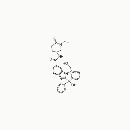 CCN1CC(NC(=O)c2ccc3nc(C(O)(c4ccccc4)c4ccccc4)n(CCO)c3c2)CCC1=O